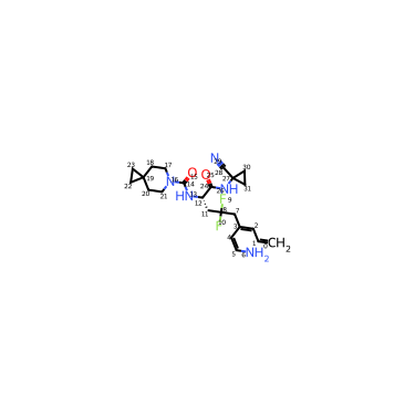 C=C/C=C(\C=C/N)CC(F)(F)C[C@H](NC(=O)N1CCC2(CC1)CC2)C(=O)NC1(C#N)CC1